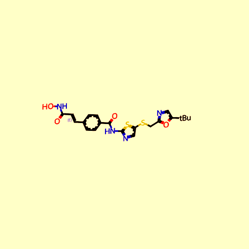 CC(C)(C)c1cnc(CSc2cnc(NC(=O)c3ccc(/C=C/C(=O)NO)cc3)s2)o1